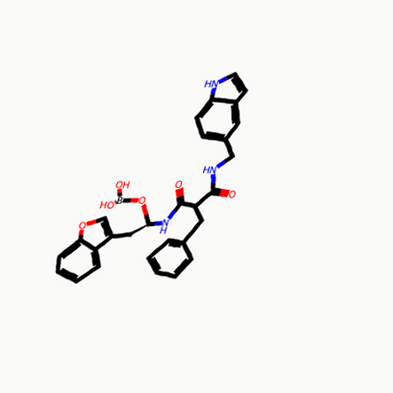 O=C(NCc1ccc2[nH]ccc2c1)C(Cc1ccccc1)C(=O)N[C@@H](Cc1coc2ccccc12)OB(O)O